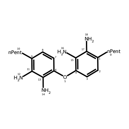 CCCCCc1ccc(Oc2ccc(CCCCC)c(N)c2N)c(N)c1N